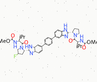 COC(=O)N[C@H](C(=O)N1C[C@H](F)C[C@H]1C1=NC2C=CC(c3ccc(-c4ccc5[nH]c([C@@H]6CCCN6C(=O)[C@@H](NC(=O)OC)C(C)C)nc5c4)cc3)=CC2N1)C(C)C